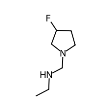 CCNCN1CCC(F)C1